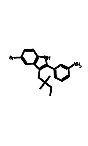 CCC(C)(C)Cc1c(-c2cccc(N)c2)[nH]c2ccc(Br)cc12